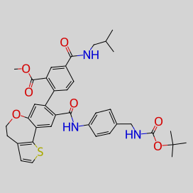 COC(=O)c1cc(C(=O)NCC(C)C)ccc1-c1cc2c(cc1C(=O)Nc1ccc(CNC(=O)OC(C)(C)C)cc1)-c1sccc1CCO2